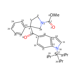 COC(=O)N1CCC(C(=O)c2ccc3c(ccn3[Si](C(C)C)(C(C)C)C(C)C)c2)(c2ccccc2)C1